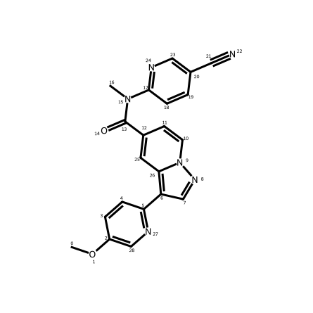 COc1ccc(-c2cnn3ccc(C(=O)N(C)c4ccc(C#N)cn4)cc23)nc1